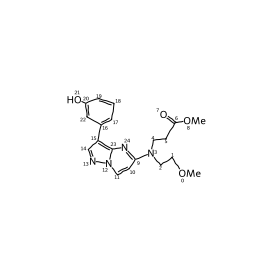 COCCN(CCC(=O)OC)c1ccn2ncc(-c3cccc(O)c3)c2n1